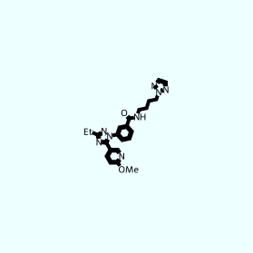 CCc1nc(-c2ccc(OC)nc2)n(-c2cccc(C(=O)NCCCCn3nccn3)c2)n1